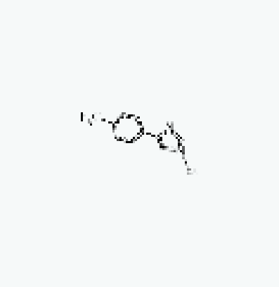 CCn1cnc(-c2ccc(C(F)(F)F)cc2)c1